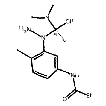 CCC(=O)Nc1ccc(C)c(N(N)[C@](C)(O)N(C)C)c1